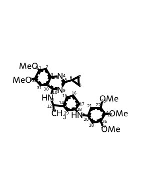 COc1cc2nc(C3CC3)nc(NC(C)c3cccc(Nc4cc(OC)c(OC)c(OC)c4)c3)c2cc1OC